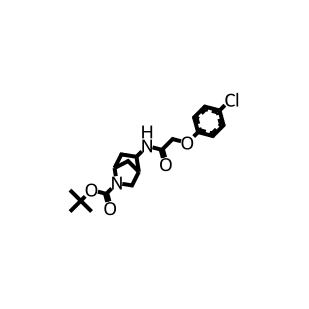 CC(C)(C)OC(=O)N1CC2CC1CC2NC(=O)COc1ccc(Cl)cc1